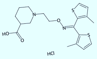 Cc1ccsc1C(=NOCCN1CCCC(C(=O)O)C1)c1sccc1C.Cl